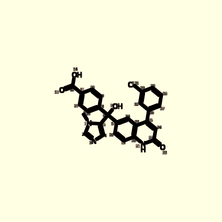 Cn1cncc1C(O)(c1ccc(C(=O)O)cc1)c1ccc2[nH]c(=O)cc(-c3cccc(Cl)c3)c2c1